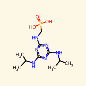 CC(C)Nc1nc(NCP(=O)(O)O)nc(NC(C)C)n1